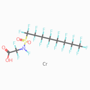 O=C(O)C(F)(F)N(F)S(=O)(=O)C(F)(F)C(F)(F)C(F)(F)C(F)(F)C(F)(F)C(F)(F)C(F)(F)C(F)(F)F.[Cr]